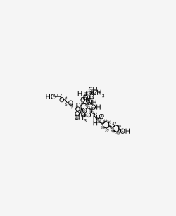 C#CCOCCOCCO[C@]1(C(=O)OC)C[C@H](O)[C@@H](NC(=O)OC(C)(C)C)[C@H]([C@H](O)[C@H](O)CNC(=O)Cc2ccc(-c3ccc(O)cc3)cc2)O1